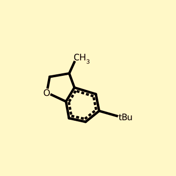 CC1COc2ccc(C(C)(C)C)cc21